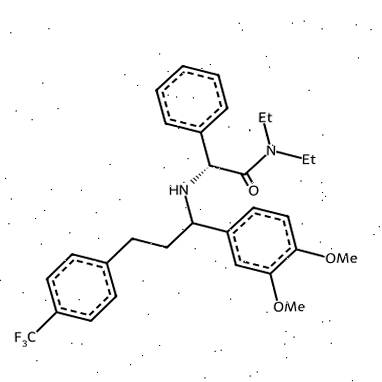 CCN(CC)C(=O)[C@H](NC(CCc1ccc(C(F)(F)F)cc1)c1ccc(OC)c(OC)c1)c1ccccc1